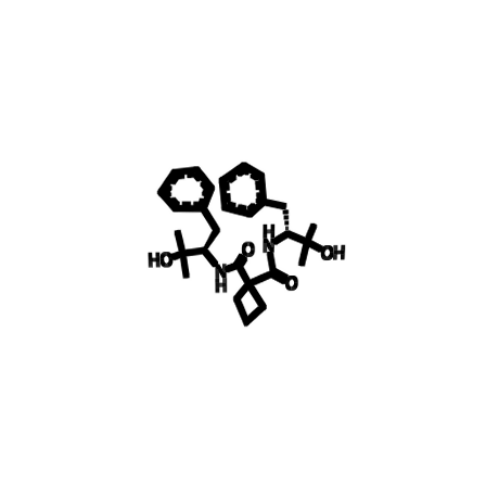 CC(C)(O)[C@@H](Cc1ccccc1)NC(=O)C1(C(=O)N[C@H](Cc2ccccc2)C(C)(C)O)CCC1